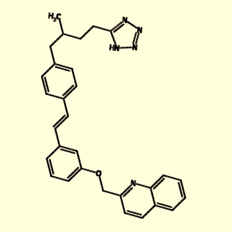 CC(CCc1nnn[nH]1)Cc1ccc(C=Cc2cccc(OCc3ccc4ccccc4n3)c2)cc1